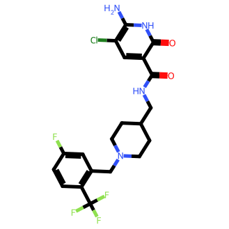 Nc1[nH]c(=O)c(C(=O)NCC2CCN(Cc3cc(F)ccc3C(F)(F)F)CC2)cc1Cl